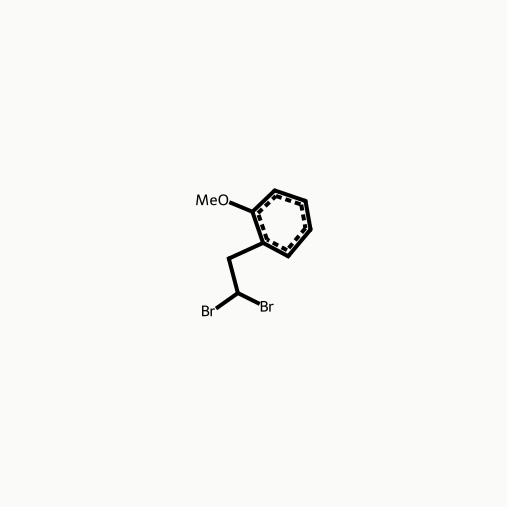 COc1ccccc1CC(Br)Br